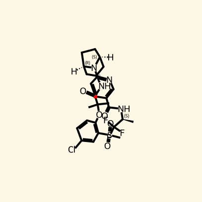 C[C@H](NC(=O)c1ccc(N2[C@@H]3CC[C@H]2C[C@@H](NC(=O)C(C)(C)Oc2ccc(Cl)cc2S(C)(=O)=O)C3)nc1)C(F)(F)F